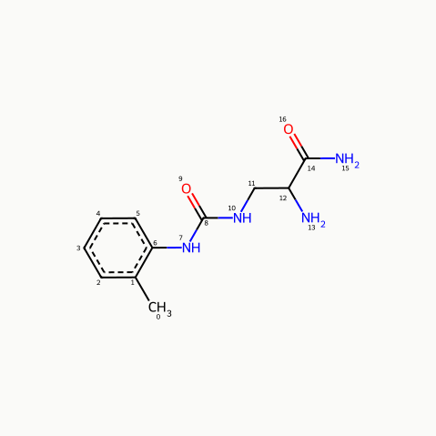 Cc1ccccc1NC(=O)NCC(N)C(N)=O